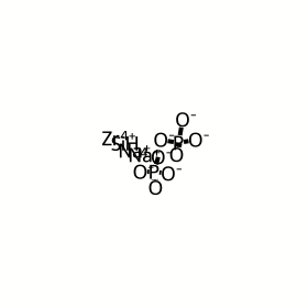 O=P([O-])([O-])[O-].O=P([O-])([O-])[O-].[Na+].[Na+].[SiH4].[Zr+4]